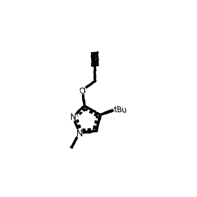 C#CCOc1nn(C)cc1C(C)(C)C